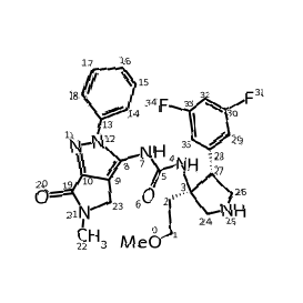 COCC[C@@]1(NC(=O)Nc2c3c(nn2-c2ccccc2)C(=O)N(C)C3)CNC[C@H]1c1cc(F)cc(F)c1